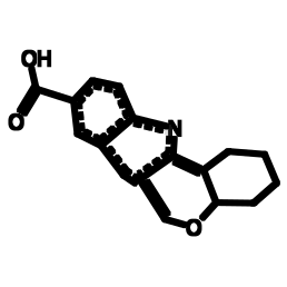 O=C(O)c1ccc2nc3c(cc2c1)=COC1CCCCC=31